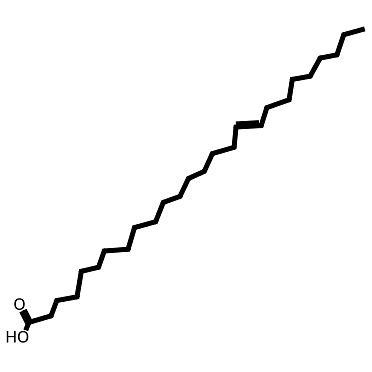 CCCCCCCC/C=C/CCCCCCCCCCCCCCCC(=O)O